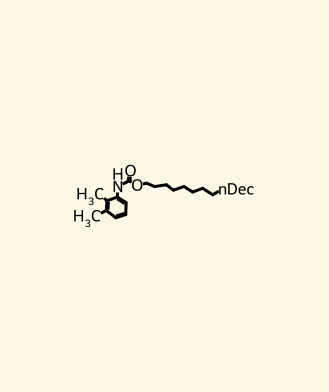 CCCCCCCCCCCCCCCCCCOC(=O)Nc1cccc(C)c1C